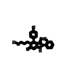 CCOCCCn1c(-c2ccc(Cl)cc2)c2c(=O)n(-c3ccccc3Cl)[nH]c2cc1=O